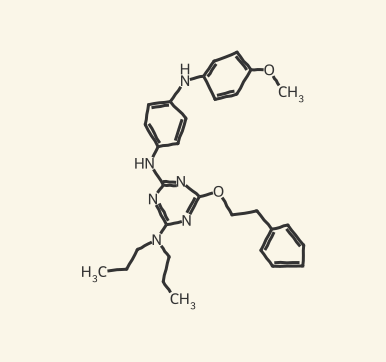 CCCN(CCC)c1nc(Nc2ccc(Nc3ccc(OC)cc3)cc2)nc(OCCc2ccccc2)n1